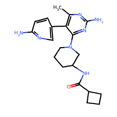 Cc1nc(N)nc(N2CCCC(NC(=O)C3CCC3)C2)c1-c1ccc(N)nc1